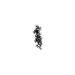 Cc1ccc2c(c1)sc1c3sc4c5c(sc4c3n(C)c21)-c1c(c2ccc(C)cc2n1C)C5